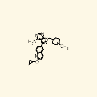 CN1CCC(Cn2nc(-c3ccc4nc(OC5CC5)ccc4c3)c3c(N)ncnc32)CC1